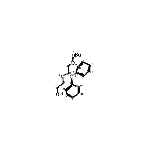 CCCCOCCOCCO.c1ccc(Oc2ccccc2)cc1